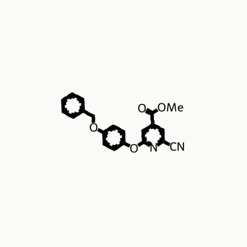 COC(=O)c1cc(C#N)nc(Oc2ccc(OCc3ccccc3)cc2)c1